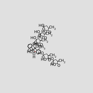 C=C(CC(=O)O)C(=O)O.C=C(CC(=O)O)C(=O)O.C=C(CC(=O)O)C(=O)O.C=C(CC(=O)O)C(=O)O.C=C(CC(=O)O)C(=O)O.Cc1ccccc1[C@](O)(CO)[C@](O)(CO)c1ccccc1C